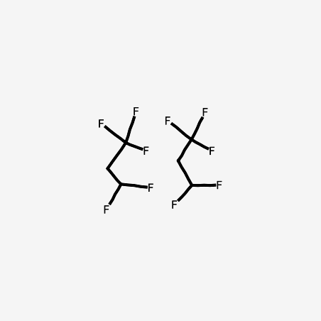 FC(F)CC(F)(F)F.FC(F)CC(F)(F)F